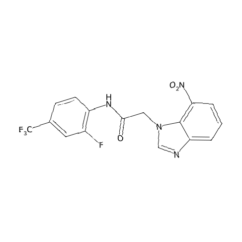 O=C(Cn1cnc2cccc([N+](=O)[O-])c21)Nc1ccc(C(F)(F)F)cc1F